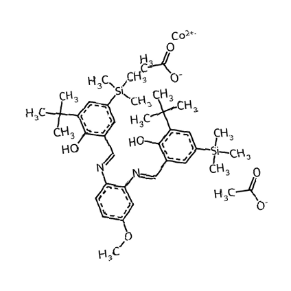 CC(=O)[O-].CC(=O)[O-].COc1ccc(N=Cc2cc([Si](C)(C)C)cc(C(C)(C)C)c2O)c(N=Cc2cc([Si](C)(C)C)cc(C(C)(C)C)c2O)c1.[Co+2]